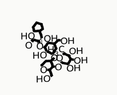 CC1OC(OC2C(CO)OCCC2OC2CC(CO)C(O)C(O[C@@H](CC3CCCCC3)C(=O)O)C2O)C(O)C(O)C1O